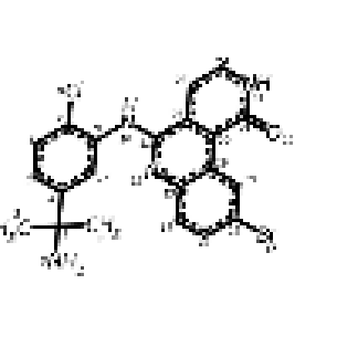 CC(C)(N)c1ccc(Cl)c(Nc2nc3ccc(Br)cc3c3c(=O)[nH]ccc23)c1